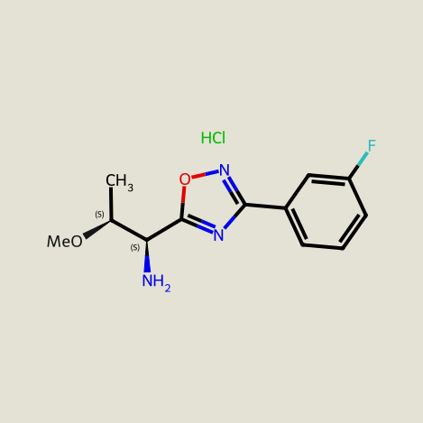 CO[C@@H](C)[C@H](N)c1nc(-c2cccc(F)c2)no1.Cl